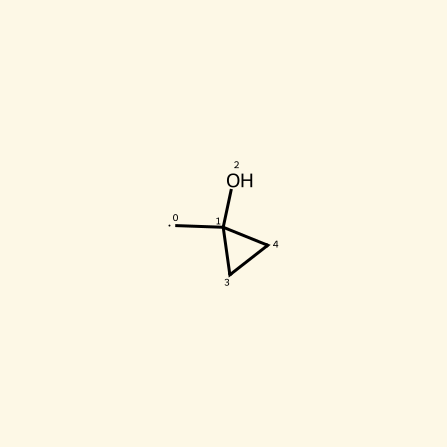 [CH2]C1(O)CC1